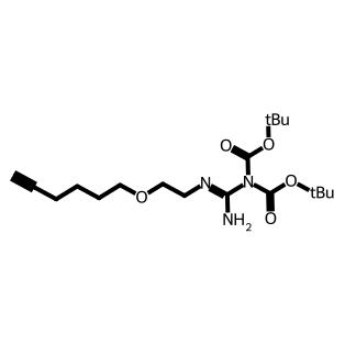 C#CCCCCOCC/N=C(\N)N(C(=O)OC(C)(C)C)C(=O)OC(C)(C)C